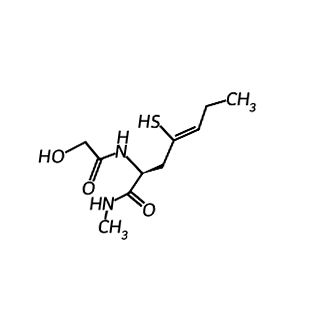 CC/C=C(\S)C[C@H](NC(=O)CO)C(=O)NC